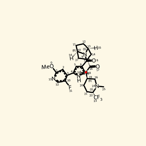 COc1cc(-c2cc(C(=O)N3[C@@H]4CC[C@H]3C[C@H](C(=O)N[C@@H]3CC[C@@H](C(F)(F)F)N(C)C3)C4)n[nH]2)c(F)cn1